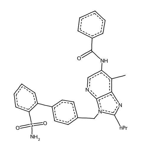 CCCc1nc2c(C)c(NC(=O)c3ccccc3)cnc2n1Cc1ccc(-c2ccccc2S(N)(=O)=O)cc1